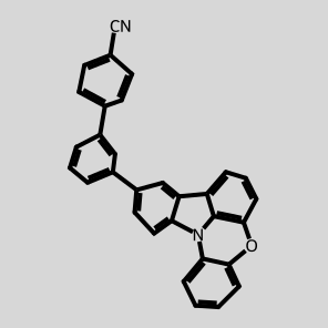 N#Cc1ccc(-c2cccc(-c3ccc4c(c3)c3cccc5c3n4-c3ccccc3O5)c2)cc1